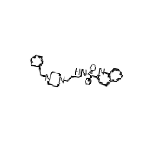 O=S(=O)(NCCCN1CCN(Cc2ccccc2)CC1)c1ccc2ccccc2n1